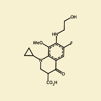 COc1c(NCCO)c(F)cc2c1N(C1CC1)CC(C(=O)O)C2=O